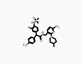 CC1CCN(c2nc(C(F)(F)F)ccc2CNC(=O)C(c2ccc(C(F)(F)F)cc2)c2ccc(NS(C)(=O)=O)c(F)c2)CC1